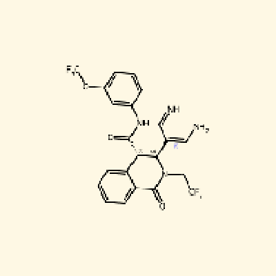 N=C/C(=C\N)[C@@H]1[C@@H](C(=O)Nc2cccc(OC(F)(F)F)c2)c2ccccc2C(=O)N1CC(F)(F)F